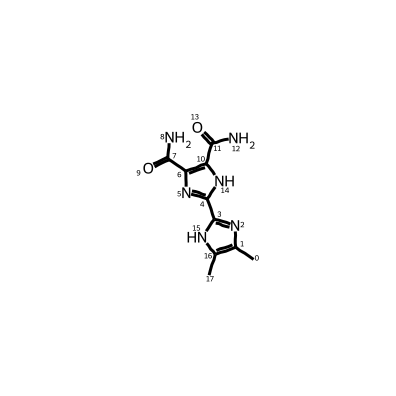 Cc1nc(-c2nc(C(N)=O)c(C(N)=O)[nH]2)[nH]c1C